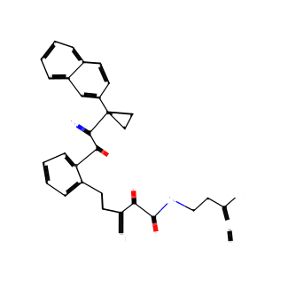 C=C=C(C)CCNC(=O)C(=O)C(=C)CCc1ccccc1C(=O)C(=N)C1(c2ccc3ccccc3c2)CC1